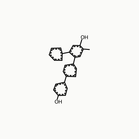 Cc1cc(-c2ccc(-c3ccc(O)cc3)cc2)c(-c2ccccc2)cc1O